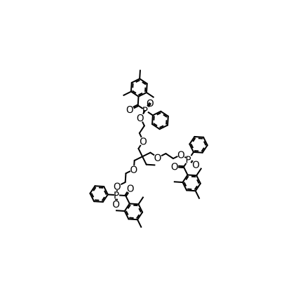 CCC(COCCOP(=O)(C(=O)c1c(C)cc(C)cc1C)c1ccccc1)(COCCOP(=O)(C(=O)c1c(C)cc(C)cc1C)c1ccccc1)COCCOP(=O)(C(=O)c1c(C)cc(C)cc1C)c1ccccc1